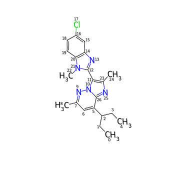 CCC(CC)c1cc(C)nn2c(-c3nc4cc(Cl)ccc4n3C)c(C)nc12